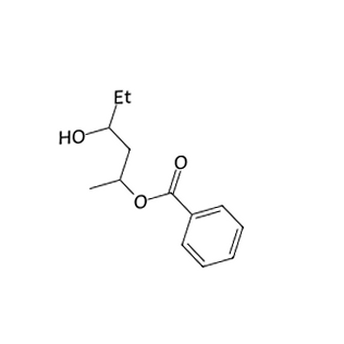 CCC(O)CC(C)OC(=O)c1ccccc1